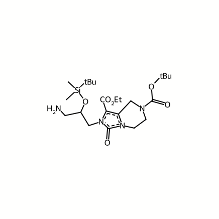 CCOC(=O)c1c2n(c(=O)n1CC(CN)O[Si](C)(C)C(C)(C)C)CCN(C(=O)OC(C)(C)C)C2